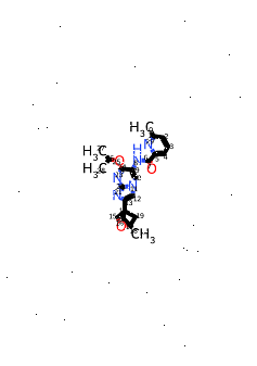 Cc1cccc(C(=O)Nc2cn3cc(C45COC(C)(C4)C5)nc3nc2OC(C)C)n1